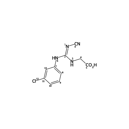 N#CN=C(NCC(=O)O)Nc1cccc(Cl)c1